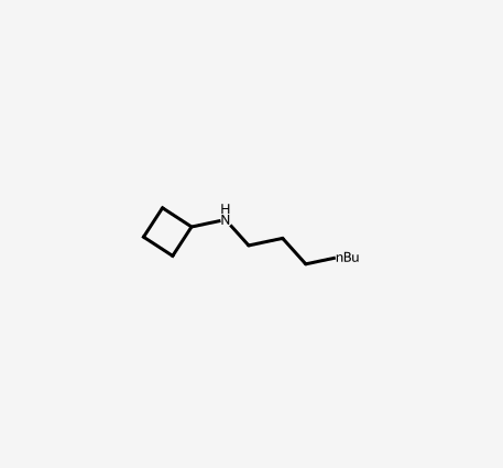 CCCCCCCNC1CCC1